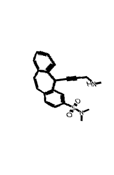 CNCC#CC1c2ccccc2C=Cc2ccc(S(=O)(=O)N(C)C)cc21